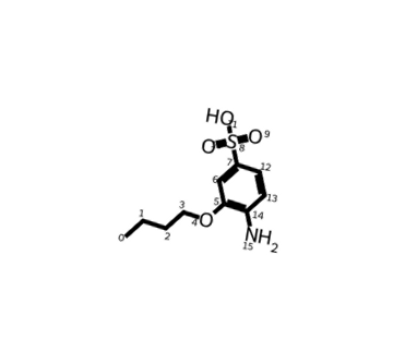 CCCCOc1cc(S(=O)(=O)O)ccc1N